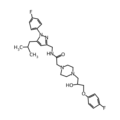 CC(C)Cc1cc(CNC(=O)CN2CCN(CC(O)COc3ccc(F)cc3)CC2)nn1-c1ccc(F)cc1